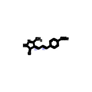 COc1ccc(/C=C/C=C2/C(=O)NN=C2C)cc1